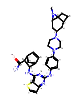 CN1C2CC(N3CCN(c4ccc(Nc5nc(NC6C7C=CC(C7)C6C(N)=O)c6sccc6n5)cc4)CC3)CC3CCC321